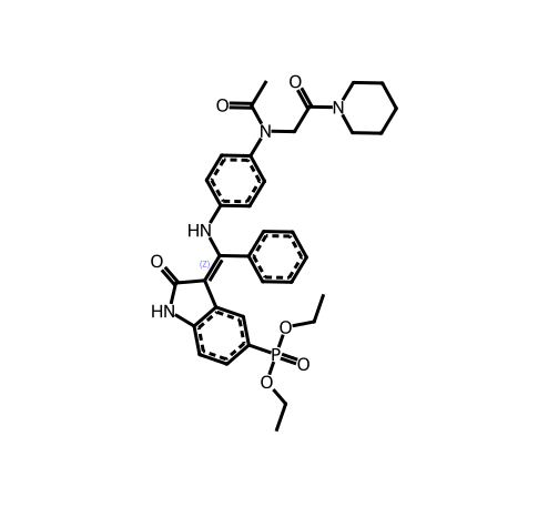 CCOP(=O)(OCC)c1ccc2c(c1)/C(=C(/Nc1ccc(N(CC(=O)N3CCCCC3)C(C)=O)cc1)c1ccccc1)C(=O)N2